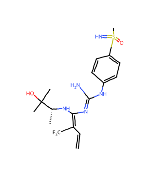 C=C/C(=C(\N=C(/N)Nc1ccc(S(C)(=N)=O)cc1)N[C@H](C)C(C)(C)O)C(F)(F)F